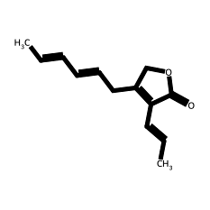 C/C=C/C=C/CC1=C(/C=C/C)C(=O)OC1